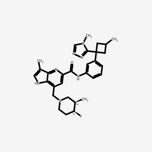 Cc1c[nH]c2c(CN3CC[C@H](F)[C@H](C)C3)cc(C(=O)Nc3cccc(C4(c5nncn5C)CC(C)C4)c3)nc12